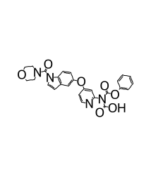 O=C(O)N(C(=O)Oc1ccccc1)c1cc(Oc2ccc3c(ccn3C(=O)N3CCOCC3)c2)ccn1